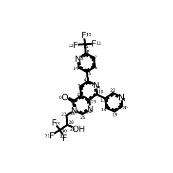 O=c1c2cc(-c3ccc(C(F)(F)F)nc3)nc(-c3cccnc3)c2ncn1CC(O)C(F)(F)F